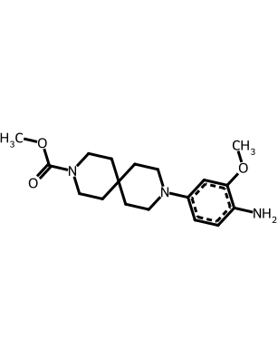 COC(=O)N1CCC2(CC1)CCN(c1ccc(N)c(OC)c1)CC2